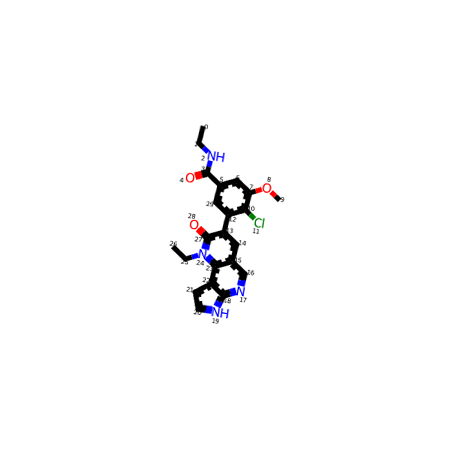 CCNC(=O)c1cc(OC)c(Cl)c(-c2cc3cnc4[nH]ccc4c3n(CC)c2=O)c1